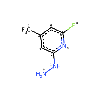 NNc1cc(C(F)(F)F)cc(F)n1